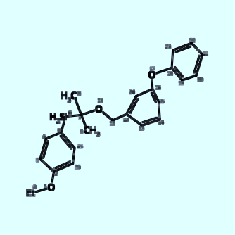 CCOc1ccc([SiH2]C(C)(C)OCc2cccc(Oc3ccccc3)c2)cc1